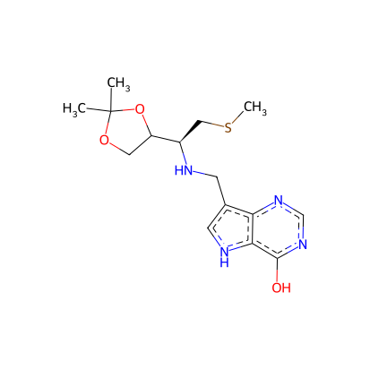 CSC[C@@H](NCc1c[nH]c2c(O)ncnc12)C1COC(C)(C)O1